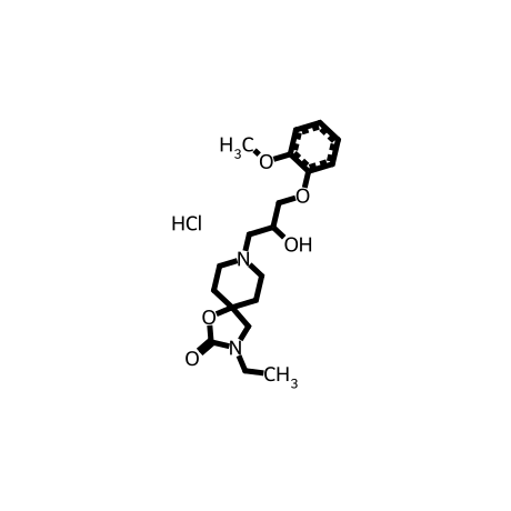 CCN1CC2(CCN(CC(O)COc3ccccc3OC)CC2)OC1=O.Cl